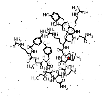 CC[C@H](C)[C@H](NC(=O)[C@H](Cc1ccc(O)cc1)NC(=O)[C@H](C)NC(=O)[C@@H](CCCNC(=N)N)NC(=O)c1ccc(CN)cc1)C(=O)N[C@@H](CC(N)=O)C(=O)N[C@@H](CC(C)C)C(=O)N[C@H](C(=O)N[C@H](C(=O)N[C@@H](CCCNC(=N)N)C(=O)N[C@@H](CCC(N)=O)C(=O)N[C@@H](CCCNC(=N)N)C(=O)N[C@@H](Cc1ccc(O)cc1)C(N)=O)[C@@H](C)O)[C@@H](C)CC